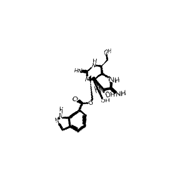 N=C1NC2[C@H](CO)NC(=N)N3C[C@H](OC(=O)c4cccc5cn[nH]c45)C(O)(O)[C@]23N1